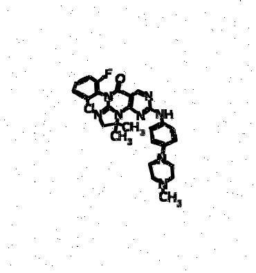 CN1CCN(c2ccc(Nc3ncc4c(n3)N3C(=NCC3(C)C)N(c3c(F)cccc3Cl)C4=O)cc2)CC1